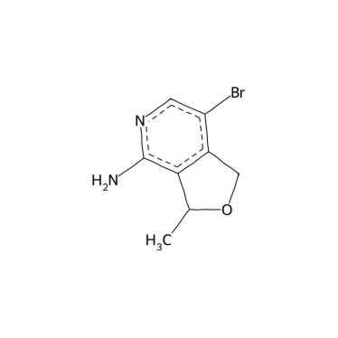 CC1OCc2c(Br)cnc(N)c21